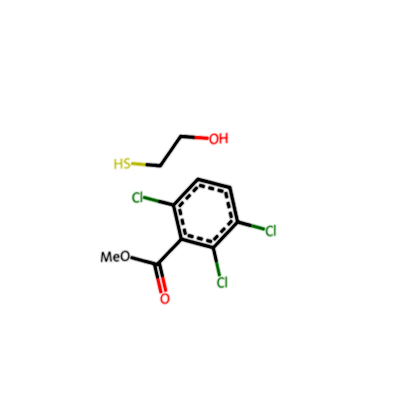 COC(=O)c1c(Cl)ccc(Cl)c1Cl.OCCS